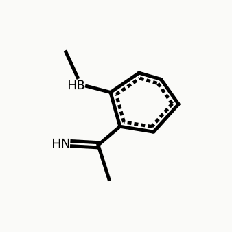 CBc1ccccc1C(C)=N